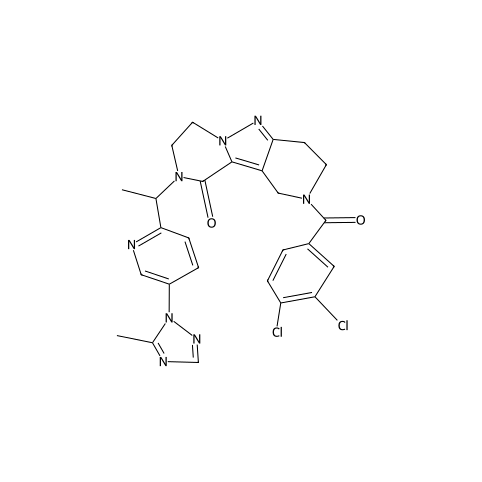 Cc1ncnn1-c1ccc(C(C)N2CCn3nc4c(c3C2=O)CN(C(=O)c2ccc(Cl)c(Cl)c2)CC4)nc1